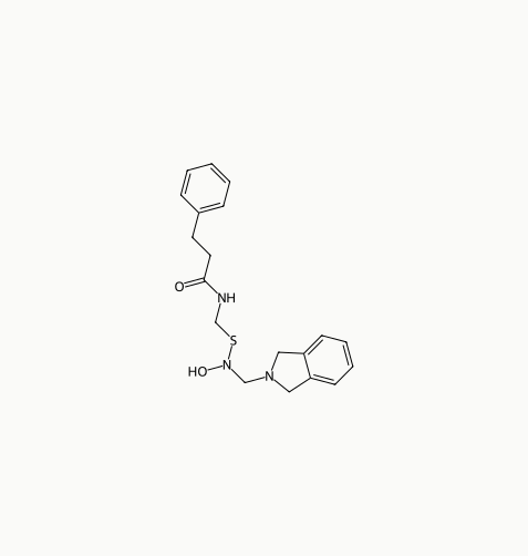 O=C(CCc1ccccc1)NCSN(O)CN1Cc2ccccc2C1